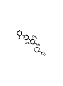 Cc1cc(N[C@H]2CCCN(C3COC3)C2)nnc1-c1ccc(-c2ccccc2F)cc1O